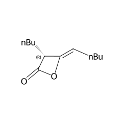 CCCCC=C1OC(=O)[C@@H]1CCCC